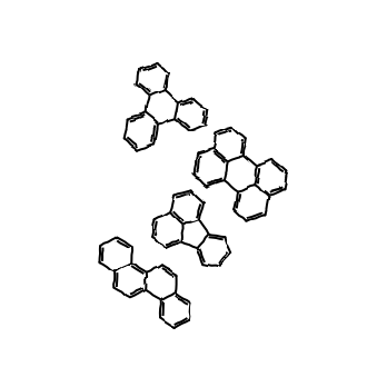 c1cc2cccc3c4cccc5cccc(c(c1)c23)c54.c1ccc2c(c1)-c1cccc3cccc-2c13.c1ccc2c(c1)c1ccccc1c1ccccc21.c1ccc2c(c1)ccc1c3ccccc3ccc21